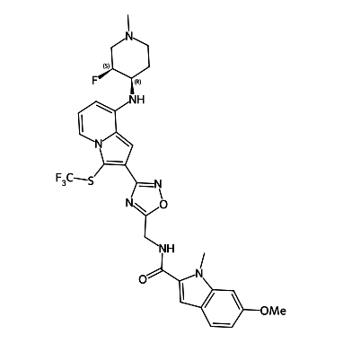 COc1ccc2cc(C(=O)NCc3nc(-c4cc5c(N[C@@H]6CCN(C)C[C@@H]6F)cccn5c4SC(F)(F)F)no3)n(C)c2c1